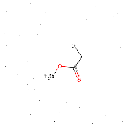 CCCC(=O)[O][SbH2]